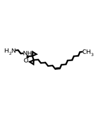 CCCCCCCC/C=C\CCCCCC1(C2(C(=O)NCCN)CC2)CC1